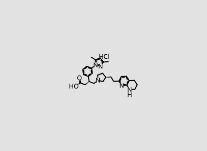 Cc1cc(C)n(-c2cccc([C@H](CC(=O)O)CN3CC[C@@H](CCc4ccc5c(n4)NCCC5)C3)c2)n1.Cl